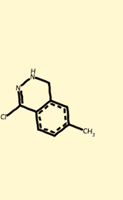 Cc1ccc2c(c1)CNN=C2Cl